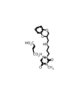 Cn1c(=O)cnn(CCCNCC2COc3ccccc3O2)c1=O.O=C(O)C=CC(=O)O